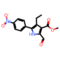 CCc1c(-c2ccc([N+](=O)[O-])cc2)[nH]c(C=O)c1C(=O)OC